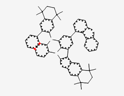 CC1(C)CCC(C)(C)c2cc(N3c4ccccc4B4c5sc6cc7c(cc6c5-c5cc(-c6cccc8oc9ccccc9c68)cc3c54)C(C)(C)CCC7(C)C)c(-c3ccccc3)cc21